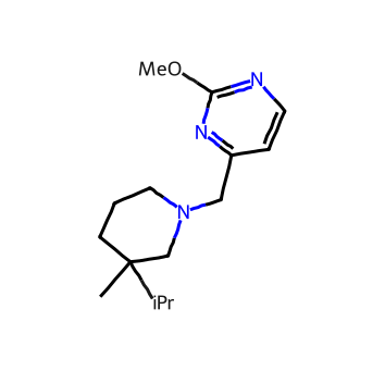 COc1nccc(CN2CCCC(C)(C(C)C)C2)n1